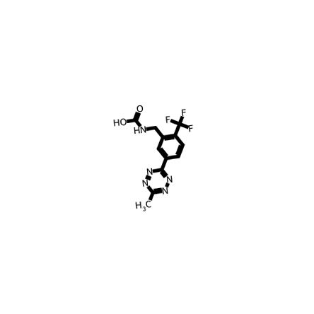 Cc1nnc(-c2ccc(C(F)(F)F)c(CNC(=O)O)c2)nn1